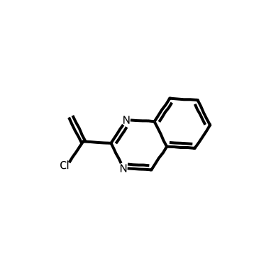 C=C(Cl)c1ncc2ccccc2n1